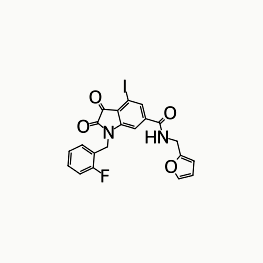 O=C(NCc1ccco1)c1cc(I)c2c(c1)N(Cc1ccccc1F)C(=O)C2=O